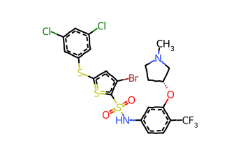 CN1CC[C@@H](Oc2cc(NS(=O)(=O)c3sc(Sc4cc(Cl)cc(Cl)c4)cc3Br)ccc2C(F)(F)F)C1